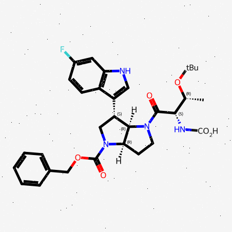 C[C@@H](OC(C)(C)C)[C@H](NC(=O)O)C(=O)N1CC[C@@H]2[C@H]1[C@@H](c1c[nH]c3cc(F)ccc13)CN2C(=O)OCc1ccccc1